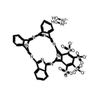 O=S(=O)([O-])c1c(S(=O)(=O)[O-])c(S(=O)(=O)[O-])c2c3nc4nc(nc5[nH]c(nc6nc(nc([nH]3)c2c1S(=O)(=O)[O-])-c1ccccc1-6)c1ccccc51)-c1ccccc1-4.[OH][Al+2].[OH][Al+2]